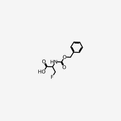 O=C(NC(CF)C(=O)O)OCc1ccccc1